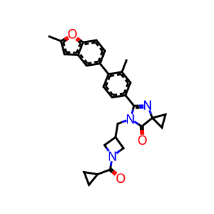 Cc1cc2cc(-c3ccc(C4=NC5(CC5)C(=O)N4CC4CN(C(=O)C5CC5)C4)cc3C)ccc2o1